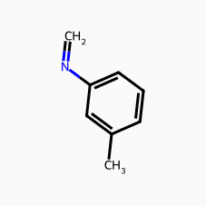 C=Nc1cccc(C)c1